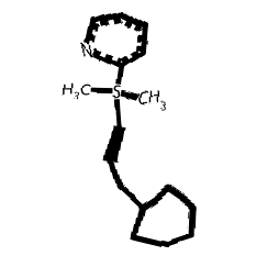 CS(C)(C#CCC1CCCCC1)c1ccccn1